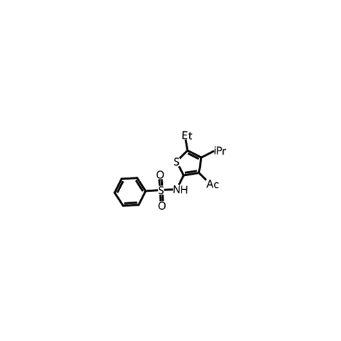 CCc1sc(NS(=O)(=O)c2ccccc2)c(C(C)=O)c1C(C)C